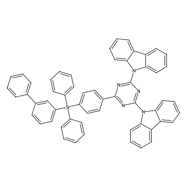 c1ccc(-c2cccc([Si](c3ccccc3)(c3ccccc3)c3ccc(-c4nc(-n5c6ccccc6c6ccccc65)nc(-n5c6ccccc6c6ccccc65)n4)cc3)c2)cc1